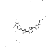 O=C(O)C1CCN(c2nc(-c3cccc(Nc4nccc(C(F)(F)F)n4)c3)cs2)CC1